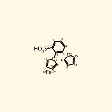 O=S(=O)(O)c1ccccc1-[c-]1cccc1.[Fe+2].c1cc[cH-]c1